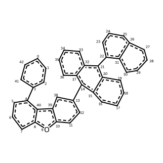 c1ccc(-c2cccc3oc4ccc(-c5c6ccccc6c(-c6cccc7ccccc67)c6ccccc56)cc4c23)cc1